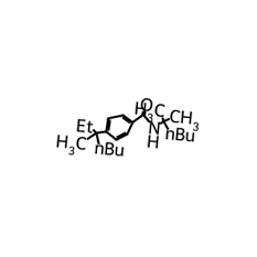 CCCCC(C)(C)NC(=O)c1ccc(C(C)(CC)CCCC)cc1